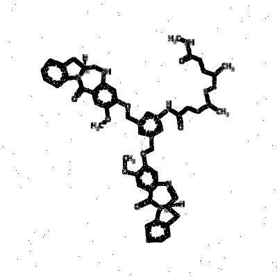 CNC(=O)CCC(C)SSC(C)CCC(=O)Nc1cc(COc2cc3c(cc2OC)C(=O)N2c4ccccc4C[C@H]2C=N3)cc(COc2cc3c(cc2OC)C(=O)N2c4ccccc4C[C@H]2CN3)c1